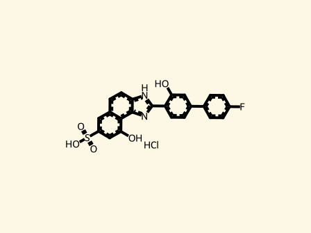 Cl.O=S(=O)(O)c1cc(O)c2c(ccc3[nH]c(-c4ccc(-c5ccc(F)cc5)cc4O)nc32)c1